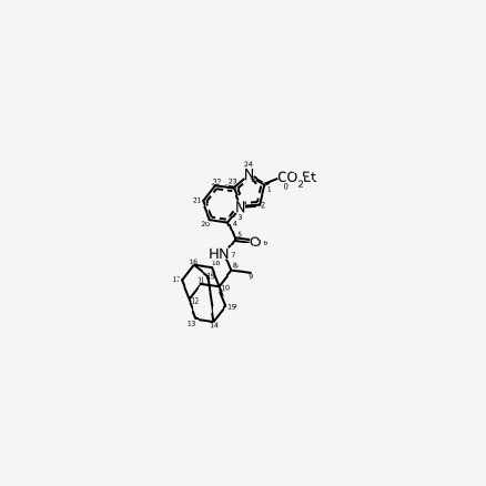 CCOC(=O)c1cn2c(C(=O)NC(C)C34CC5CC(CC(C5)C3)C4)cccc2n1